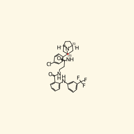 O=C(CCNC(=O)c1ccccc1Nc1cccc(C(F)(F)F)c1)N[C@@H]1C[C@H]2CC[C@@H](C1)N2Cc1ccc(Cl)cc1